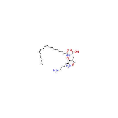 CCCCC/C=C\C/C=C\CCCCCCCC(=O)N[C@@H](CC([C]=O)C(=O)[C@@H](N)CCCCN)C(=O)O